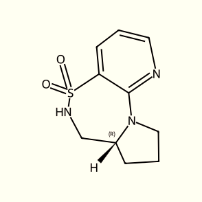 O=S1(=O)NC[C@H]2CCCN2c2ncccc21